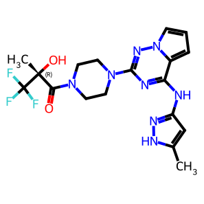 Cc1cc(Nc2nc(N3CCN(C(=O)[C@@](C)(O)C(F)(F)F)CC3)nn3cccc23)n[nH]1